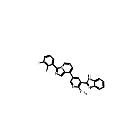 Cc1ncc(-c2cccn3c(-c4cccc(F)c4F)ncc23)cc1-c1nc2ccccc2[nH]1